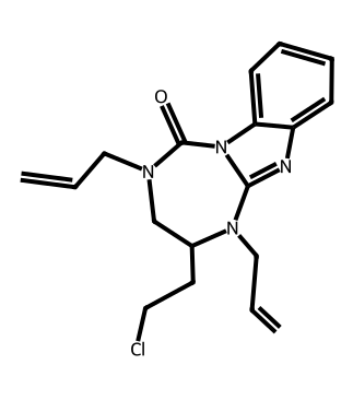 C=CCN1CC(CCCl)N(CC=C)c2nc3ccccc3n2C1=O